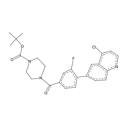 CC(C)(C)OC(=O)N1CCN(C(=O)c2ccc(-c3ccc4nccc(Cl)c4c3)c(F)c2)CC1